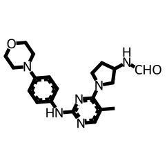 Cc1cnc(Nc2ccc(N3CCOCC3)cc2)nc1N1CCC(NC=O)C1